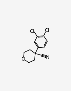 N#CC1(c2ccc(Cl)c(Cl)c2)CCOCC1